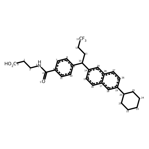 O=C(O)CCNC(=O)c1ccc(C(CCC(F)(F)F)c2ccc3cc(C4CCCCC4)ccc3c2)cc1